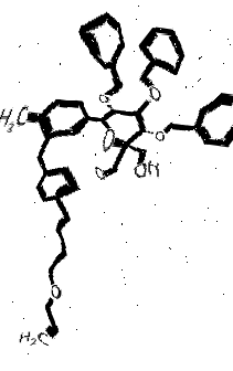 C=CCOCCCCc1ccc(Cc2cc(C3O[C@](C=O)(CO)[C@@H](OCc4ccccc4)C(OCc4ccccc4)[C@H]3OCc3ccccc3)ccc2C)cc1